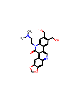 CN(C)CCn1c(=O)c2c3cc4c(cc3ncc2c2cc(CO)c(CO)cc21)OCO4